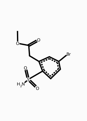 COC(=O)Cc1cc(Br)ccc1S(N)(=O)=O